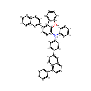 c1ccc(-c2cccc3cc(-c4ccc(N(c5ccccc5)c5ccc(-c6ccc7ccccc7c6)c6c5oc5ccccc56)cc4)ccc23)cc1